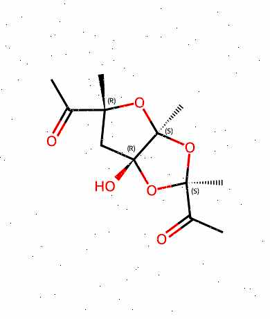 CC(=O)[C@]1(C)O[C@]2(C)O[C@@](C)(C(C)=O)C[C@@]2(O)O1